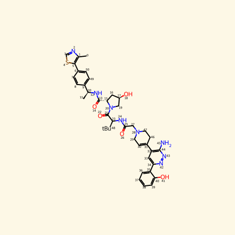 Cc1ncsc1-c1ccc([C@H](C)NC(=O)[C@@H]2C[C@@H](O)CN2C(=O)C(NC(=O)CN2CC=C(c3cc(-c4ccccc4O)nnc3N)CC2)C(C)(C)C)cc1